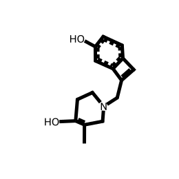 CC1=C(O)CCN(CC2=Cc3ccc(O)cc32)C1